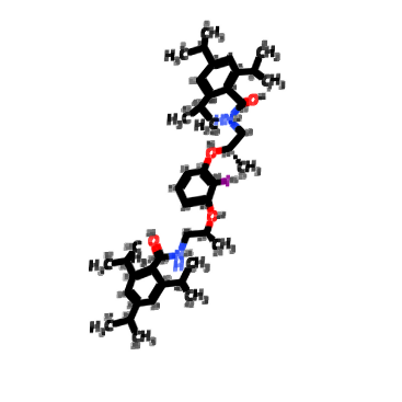 CC(C)c1cc(C(C)C)c(C(=O)NC[C@H](C)Oc2cccc(O[C@@H](C)CNC(=O)c3c(C(C)C)cc(C(C)C)cc3C(C)C)c2I)c(C(C)C)c1